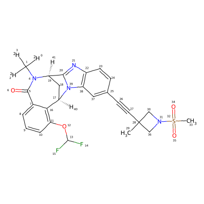 [2H]C([2H])([2H])N1C(=O)c2cccc(OC(F)F)c2[C@H]2C[C@@H]1c1nc3ccc(C#CC4(C)CN(S(C)(=O)=O)C4)cc3n12